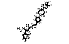 Cc1ccc2c(N)c(C(=O)NCCc3ccc(N4CCN(C(=O)OC(C)(C)C)CC4)cc3)sc2n1